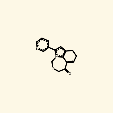 O=C1COCn2c(-c3cccnc3)cc3c2C1=CCC3